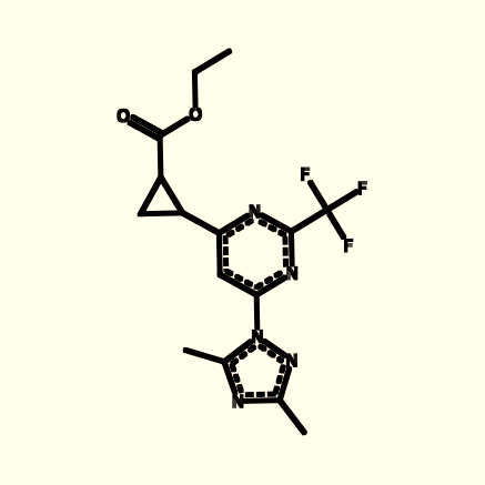 CCOC(=O)C1CC1c1cc(-n2nc(C)nc2C)nc(C(F)(F)F)n1